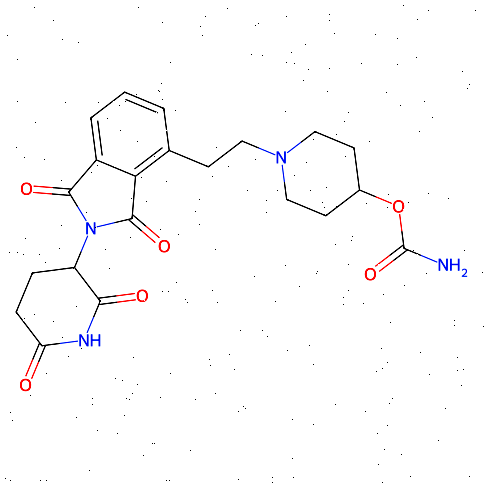 NC(=O)OC1CCN(CCc2cccc3c2C(=O)N(C2CCC(=O)NC2=O)C3=O)CC1